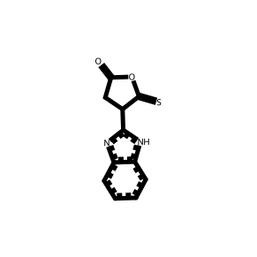 O=C1CC(c2nc3ccccc3[nH]2)C(=S)O1